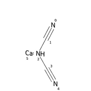 N#CNC#N.[Ca]